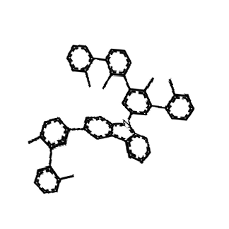 Cc1ccccc1-c1cc(-c2ccc3c(c2)c2ccccc2n3-c2cc(-c3ccccc3C)c(C)c(-c3cccc(-c4ccccc4C)c3C)c2)ccc1C